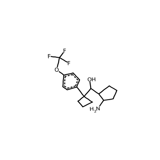 NC1CCCC1C(O)C1(c2ccc(OC(F)(F)F)cc2)CCC1